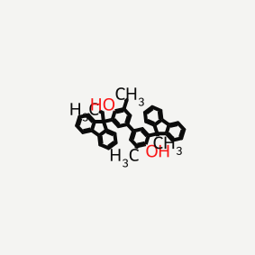 CCc1cc(-c2cc(C)c(O)c(C3(C)c4ccccc4-c4ccccc43)c2)cc(C2(CC)c3ccccc3-c3ccccc32)c1O